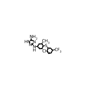 Cc1cc(Nc2n[nH]c(N)n2)cc(C)c1Sc1cccc(C(F)(F)F)c1